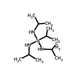 CC(C)N[Si](NC(C)C)(NC(C)C)C(C)C